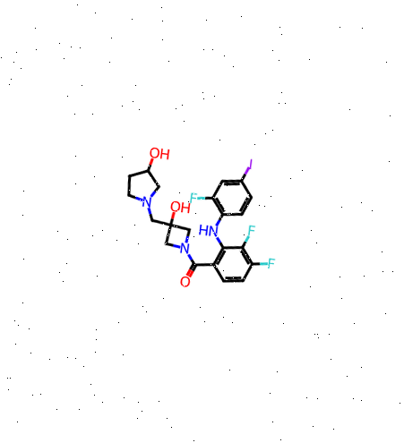 O=C(c1ccc(F)c(F)c1Nc1ccc(I)cc1F)N1CC(O)(CN2CCC(O)C2)C1